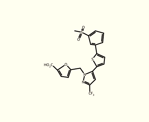 CS(=O)(=O)c1cccc(-c2ccc(-c3cc(C(F)(F)F)nn3Cc3ccc(C(=O)O)o3)s2)c1